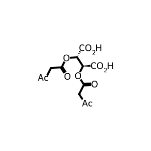 CC(=O)CC(=O)O[C@H](C(=O)O)[C@H](OC(=O)CC(C)=O)C(=O)O